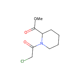 COC(=O)C1CCCCN1C(=O)CCl